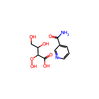 NC(=O)c1cccnc1.O=C(O)C(OO)C(O)CO